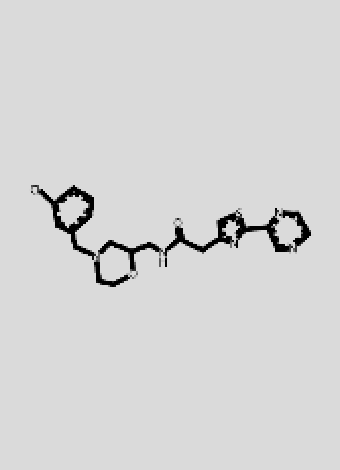 O=C(Cc1csc(-c2cnccn2)n1)NCC1CN(Cc2cccc(Cl)c2)CCO1